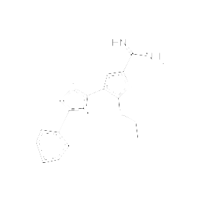 CCSc1sc(C(=N)N)cc1-c1nc(-c2ccccc2)cs1